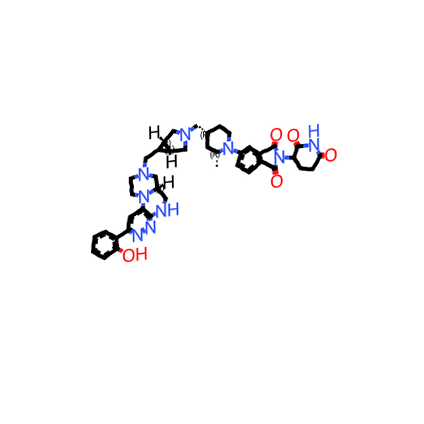 C[C@@H]1C[C@H](CN2C[C@@H]3C(CN4CCN5c6cc(-c7ccccc7O)nnc6NC[C@H]5C4)[C@@H]3C2)CCN1c1ccc2c(c1)C(=O)N(C1CCC(=O)NC1=O)C2=O